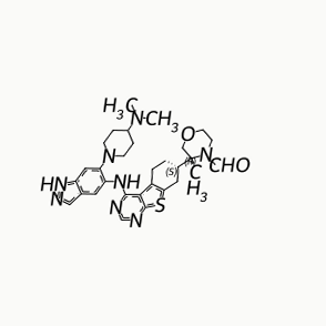 CN(C)C1CCN(c2cc3[nH]ncc3cc2Nc2ncnc3sc4c(c23)CC[C@H]([C@]2(C)COCCN2C=O)C4)CC1